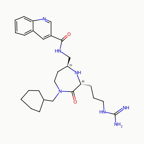 N=C(N)NCCC[C@H]1N[C@H](CNC(=O)c2cnc3ccccc3c2)CCN(CC2CCCCC2)C1=O